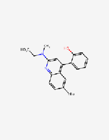 CCCCc1ccc2nc(N(C)CC(=O)O)cc(-c3ccccc3O)c2c1